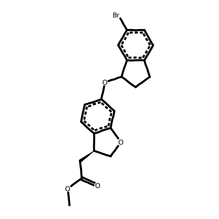 COC(=O)C[C@@H]1COc2cc(OC3CCc4ccc(Br)cc43)ccc21